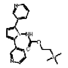 C[Si](C)(C)CCOC(=O)Nn1c(-c2cccnc2)ccc1-c1cccnc1